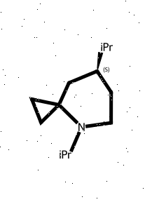 CC(C)[C@H]1CCN(C(C)C)C2(CC2)C1